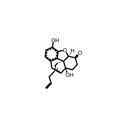 C=CCN1CC[C@]23c4c5ccc(O)c4O[C@H]2C(=O)CC[C@]3(O)C1C5